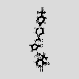 O=C1[C@@H](CC(=O)N2CCN(c3ccc(C(F)(F)F)cn3)CC2)CC[C@H]1COc1cn[nH]c(=O)c1C(F)(F)F